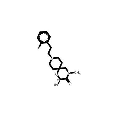 CC(C)[C@H]1OC2(CCN(CCc3ccccc3F)CC2)CN(C)C1=O